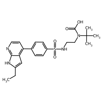 CCc1cc2c(-c3ccc(S(=O)(=O)NCCN(C(=O)O)C(C)(C)C)cc3)ccnc2[nH]1